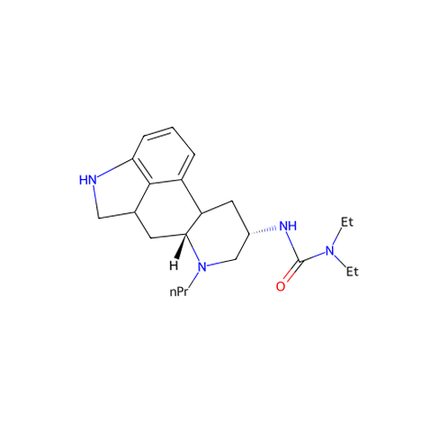 CCCN1C[C@@H](NC(=O)N(CC)CC)CC2c3cccc4c3C(CN4)C[C@H]21